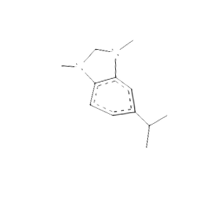 CC(C)c1ccc2c(c1)N(C)CN2C